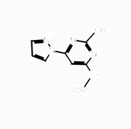 Cc1nc(SC(C)(C)C)cc(-n2cccn2)n1